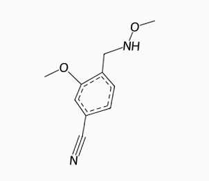 CONCc1ccc(C#N)cc1OC